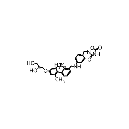 Cc1cc(OC[C@H](O)CO)cc(C)c1-c1cccc(CNc2ccc(Cn3oc(=O)[nH]c3=O)cc2)c1C